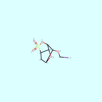 O=S1(=O)OC2C(OCI)C3CC1C2O3